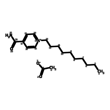 CC(=O)[O-].CCCCCCCCCC[n+]1ccc(C(N)=O)cc1